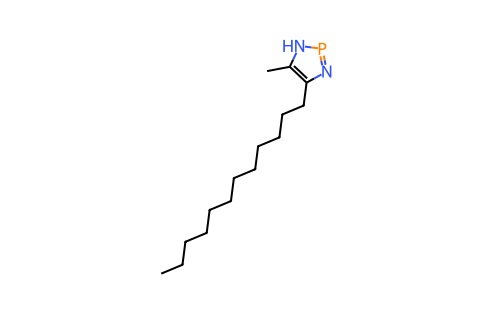 CCCCCCCCCCCCc1np[nH]c1C